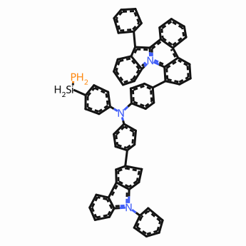 P[SiH2]c1ccc(N(c2ccc(-c3ccc4c(c3)c3ccccc3n4-c3ccccc3)cc2)c2ccc(-c3cccc4c5ccccc5c5c(-c6ccccc6)c6ccccc6n5c34)cc2)cc1